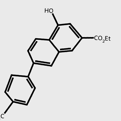 CCOC(=O)c1cc(O)c2ccc(-c3ccc(C(F)(F)F)cc3)cc2c1